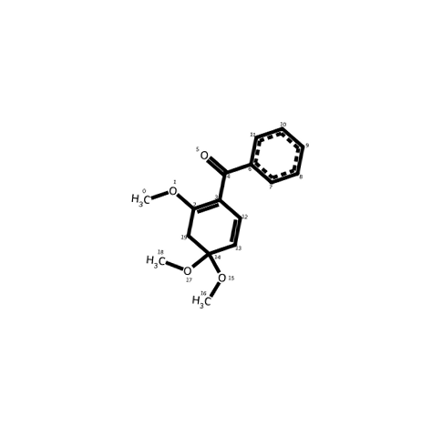 COC1=C(C(=O)c2ccccc2)C=CC(OC)(OC)C1